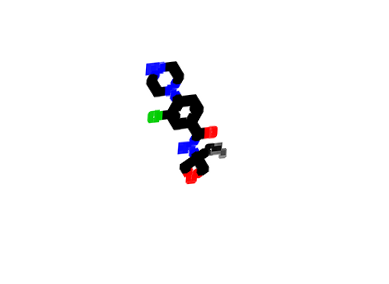 CC1(NC(=O)c2ccc(N3CCNCC3)c(Cl)c2)COC1